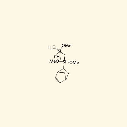 CO[Si](C)(C)C[Si](OC)(OC)C1CC2C=CC1C2